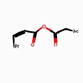 CCC/C=C\C(=O)OC(=O)CC(C)=O